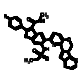 CCS(=O)(=O)Nc1cc2oc(-c3ccc(F)cc3)c(C(=O)NC)c2cc1-c1ccc2c(n1)-c1cc3cccnc3n1CO2